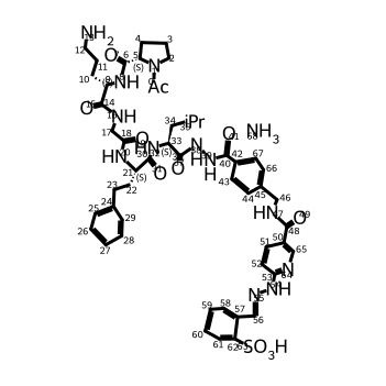 CC(=O)N1CCC[C@H]1C(=O)N[C@@H](CCCN)C(=O)NCC(=O)N[C@@H](CCc1ccccc1)C(=O)N[C@@H](CC(C)C)C(=O)NNC(=O)c1ccc(CNC(=O)c2ccc(NN=Cc3ccccc3S(=O)(=O)O)nc2)cc1.N